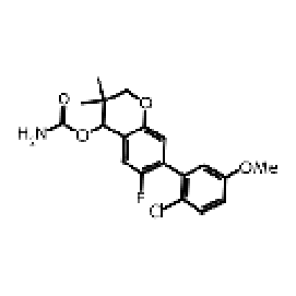 COc1ccc(Cl)c(-c2cc3c(cc2F)C(OC(N)=O)C(C)(C)CO3)c1